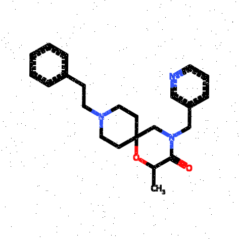 CC1OC2(CCN(CCc3ccccc3)CC2)CN(Cc2cccnc2)C1=O